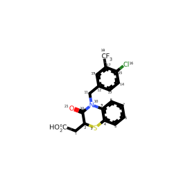 O=C(O)CC1Sc2ccccc2N(Cc2ccc(Cl)c(C(F)(F)F)c2)C1=O